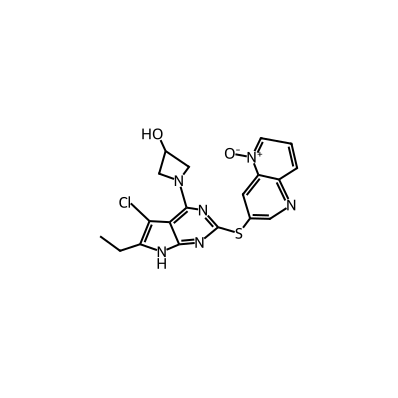 CCc1[nH]c2nc(Sc3cnc4ccc[n+]([O-])c4c3)nc(N3CC(O)C3)c2c1Cl